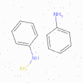 Nc1ccccc1.SNc1ccccc1